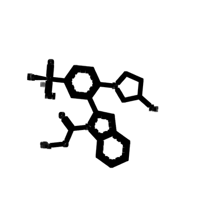 CC[S@@](=N)(=O)c1ccc(N2CCC(C(C)=O)C2)c(-c2cc3ccccc3n2C(=O)OC(C)(C)C)c1